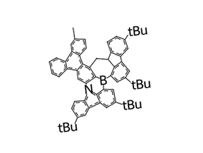 Cc1ccc2c(c1)c1ccccc1c1cc3c4c(c21)CC1c2ccc(C(C)(C)C)cc2-c2cc(C(C)(C)C)cc(c21)B4c1cc(C(C)(C)C)cc2c4cc(C(C)(C)C)ccc4n-3c12